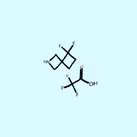 FC1(F)CCC12CNC2.O=C(O)C(F)(F)F